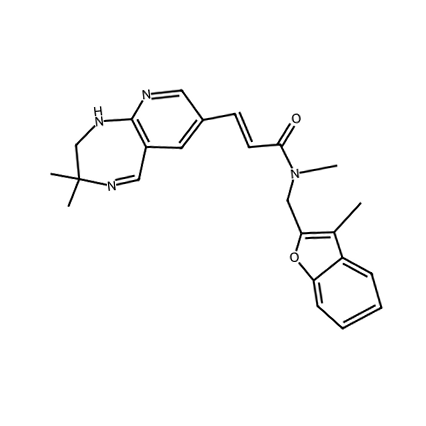 Cc1c(CN(C)C(=O)C=Cc2cnc3c(c2)C=NC(C)(C)CN3)oc2ccccc12